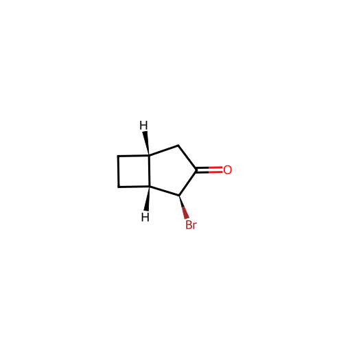 O=C1C[C@H]2CC[C@H]2[C@@H]1Br